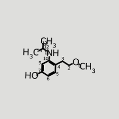 COCCc1ccc(O)cc1NC(C)C